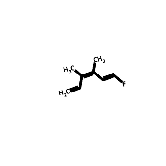 C=C/C(C)=C(C)\C=C\F